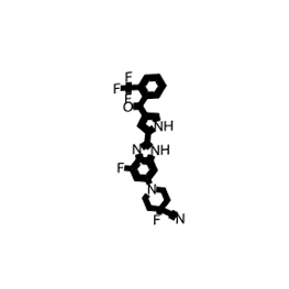 N#CC1(F)CCN(c2cc(F)c3nc(-c4cc(C(=O)c5ccccc5C(F)(F)F)c[nH]4)[nH]c3c2)CC1